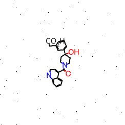 O=C(O)Cc1cccc(C2(O)CCN(C(=O)c3ccnc4ccccc34)CC2)c1